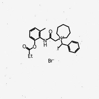 CCC(=O)Oc1cccc(C)c1NC(=O)C[N+]1(C(I)c2ccccc2)CCCCCC1.[Br-]